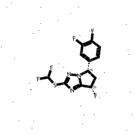 Fc1ccc([C@@H]2C[C@H](F)c3nc(SC(F)F)nn32)cc1F